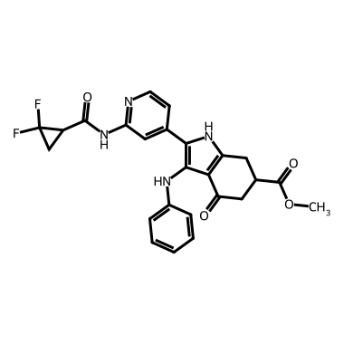 COC(=O)C1CC(=O)c2c([nH]c(-c3ccnc(NC(=O)C4CC4(F)F)c3)c2Nc2ccccc2)C1